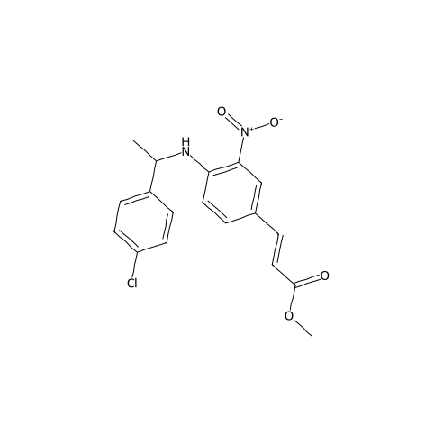 COC(=O)/C=C/c1ccc(NC(C)c2ccc(Cl)cc2)c([N+](=O)[O-])c1